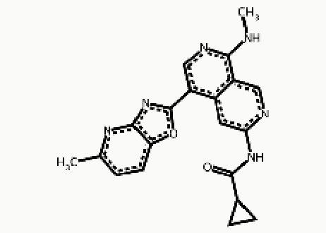 CNc1ncc(-c2nc3nc(C)ccc3o2)c2cc(NC(=O)C3CC3)ncc12